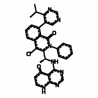 CC(C)c1ncncc1-c1cccc2c(Cl)c([C@H](C)Nc3ncnc4[nH]ccc(=O)c34)n(-c3ccccc3)c(=O)c12